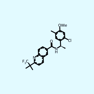 COc1cc(Cl)c([C@@H](C)NC(=O)c2ccc3nc(C(C)(C)C(F)(F)F)ccc3c2)cc1C